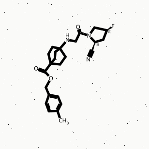 Cc1ccc(COC(=O)C23CCC(NCC(=O)N4C[C@@H](F)C[C@H]4C#N)(CC2)CC3)cc1